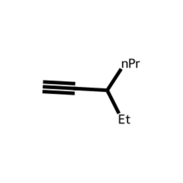 C#C[C](CC)CCC